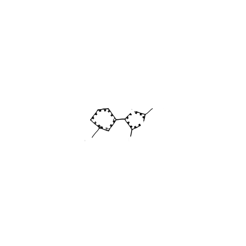 CCCCc1cccc(-c2nc(C)sc2F)c1